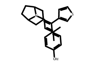 CC(C)=CCN1C2CCC1CC(=C(c1ccc(O)cc1)c1ccsc1)C2